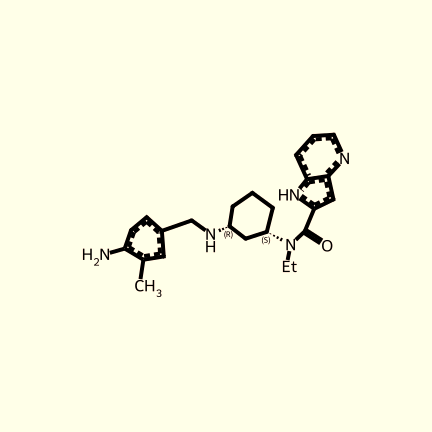 CCN(C(=O)c1cc2ncccc2[nH]1)[C@H]1CCC[C@@H](NCc2ccc(N)c(C)c2)C1